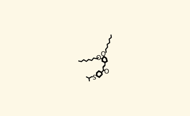 CCCCCCCCOc1ccc(C=CC(=O)c2ccc(SCC(C)C)cc2)cc1OCCCCCCCC